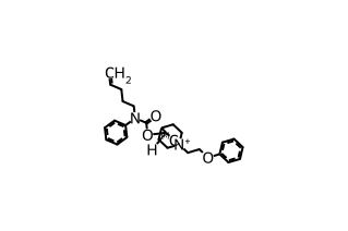 C=CCCCN(C(=O)O[C@H]1C[N+]2(CCOc3ccccc3)CCC1CC2)c1ccccc1